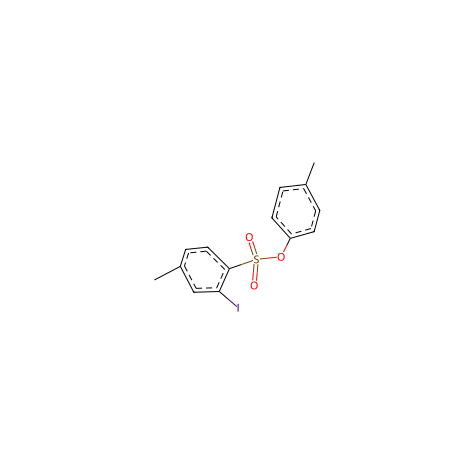 Cc1ccc(OS(=O)(=O)c2ccc(C)cc2I)cc1